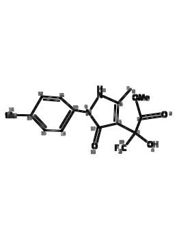 COC(=O)C(O)(c1c(C)[nH]n(-c2ccc(C(C)(C)C)cc2)c1=O)C(F)(F)F